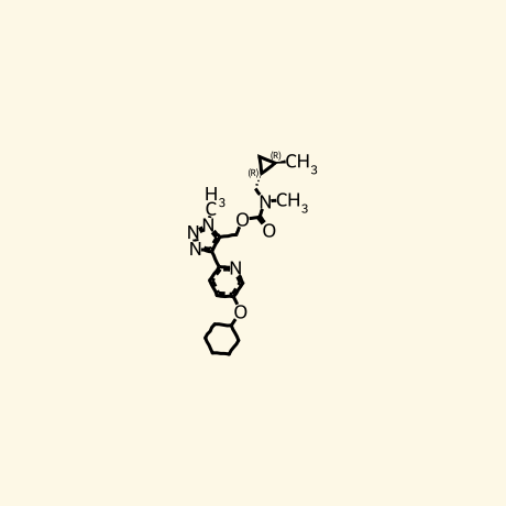 C[C@@H]1C[C@H]1CN(C)C(=O)OCc1c(-c2ccc(OC3CCCCC3)cn2)nnn1C